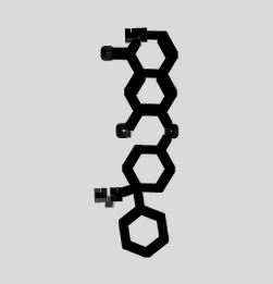 NC1(C2CCCCC2)CCC(Oc2cc3cc[nH]c(=O)c3cc2Cl)CC1